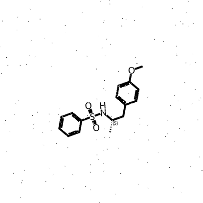 COc1ccc(C[C@H](C)NS(=O)(=O)c2ccccc2)cc1